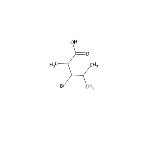 CC(C)C(Br)C(C)C(=O)O